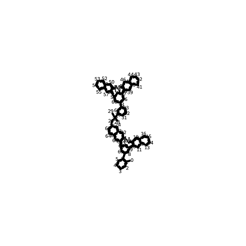 Cc1ccccc1-c1cc2c3cc4ccccc4cc3n3c4cc5cc(CC(C)(C)c6cccc(-c7cc8c9cc%10ccccc%10cc9n9c%10cc%11ccccc%11cc%10c(c7)c89)c6)ccc5cc4c(c1)c23